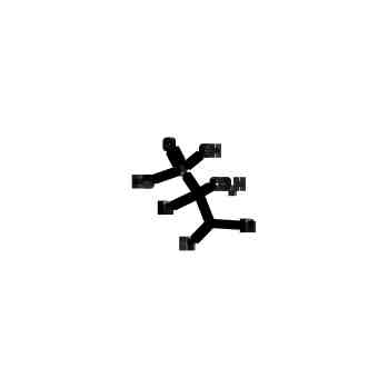 CCC(CC)C(CC)(C(=O)O)P(=O)(O)O